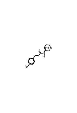 O=C(C=Cc1ccc(Br)cc1)NC1CN2CCC1CC2